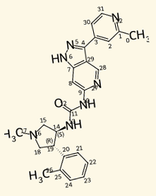 Cc1cc(-c2n[nH]c3cc(NC(=O)N[C@@H]4CN(C)C[C@H]4c4ccccc4C)ncc23)ccn1